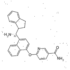 NC(=O)c1ccc(Oc2ccc([C@H](N)C3CCc4ccccc43)c3ccccc23)nc1